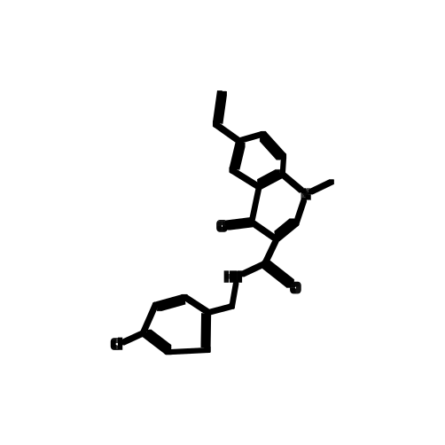 C=Cc1ccc2c(c1)c(=O)c(C(=O)NCc1ccc(Cl)cc1)cn2C